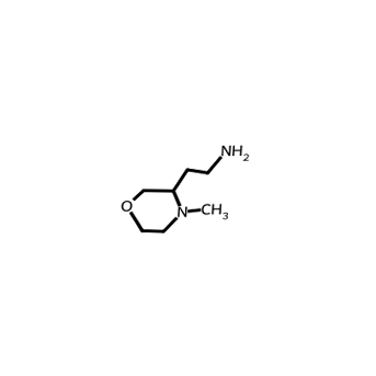 CN1CCOCC1CCN